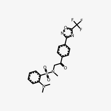 CN(C)c1ccccc1S(=O)(=O)N(C)CC(=O)c1ccc(-c2noc(C(F)(F)F)n2)cc1